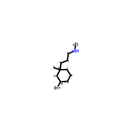 CCNCCCC1(C)CCCC(CC)C1